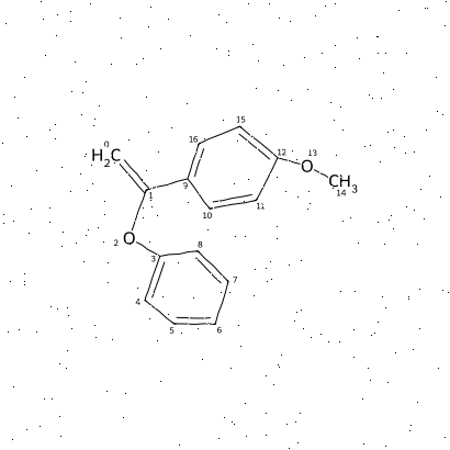 C=C(Oc1ccccc1)c1ccc(OC)cc1